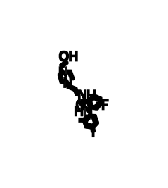 Cc1cc(I)ccc1Nc1cc(F)ccc1C(=O)NCCCN1CCN(CCO)CC1